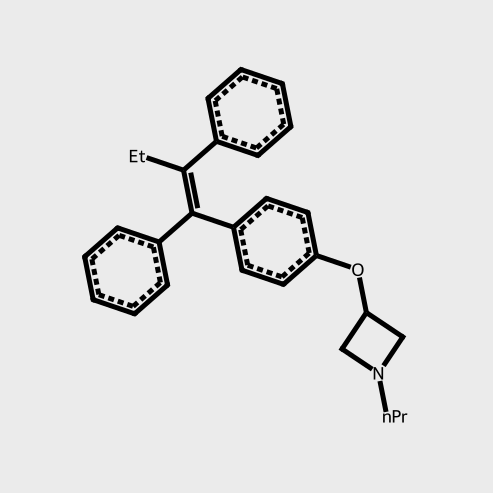 CCCN1CC(Oc2ccc(/C(=C(/CC)c3ccccc3)c3ccccc3)cc2)C1